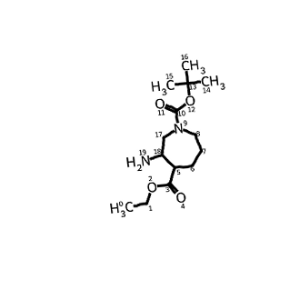 CCOC(=O)C1CCCN(C(=O)OC(C)(C)C)CC1N